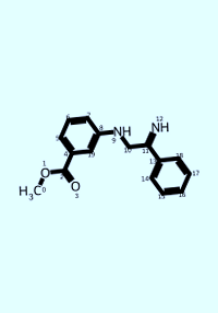 COC(=O)c1cccc(NCC(=N)c2ccccc2)c1